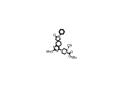 CSc1nc2c(c(N3CCN(C(=O)OC(C)(C)C)[C@@H](CC#N)C3)n1)CCC1(CC(=O)N(c3ccccc3)C1)C2